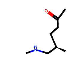 CNC[C@H](C)CCC(C)=O